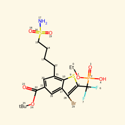 CCOP(=O)(O)C(F)(F)c1sc2c(CCCCS(N)(=O)=O)cc(C(=O)OC(C)(C)C)cc2c1Br